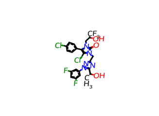 CC(O)c1nc(Cn2c(Cl)c(-c3ccc(Cl)cc3)n(CC(O)C(F)(F)F)c2=O)nn1-c1cc(F)cc(F)c1